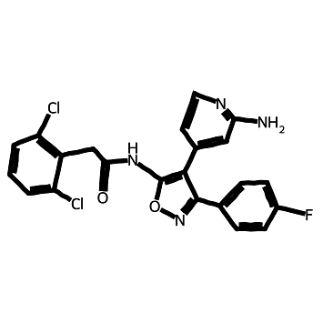 Nc1cc(-c2c(-c3ccc(F)cc3)noc2NC(=O)Cc2c(Cl)cccc2Cl)ccn1